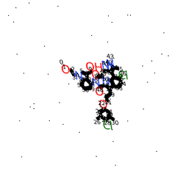 COCCn1cc(C(=O)O)c2c(N3C[C@@H](C)n4c(c(CCCOc5cc(C)c(Cl)c(C)c5)c5ccc(Cl)c(-c6c(C)nn(C)c6C)c54)C3=O)cccc21